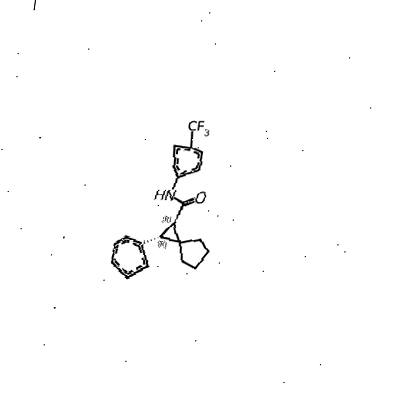 O=C(Nc1ccc(C(F)(F)F)cc1)[C@@H]1[C@@H](c2ccccc2)C12CCCC2